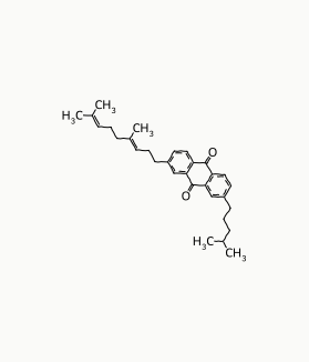 CC(C)=CCC/C(C)=C/CCc1ccc2c(c1)C(=O)c1cc(CCCC(C)C)ccc1C2=O